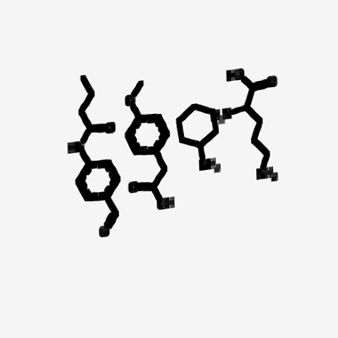 CCCC(=O)Nc1ccc(C=O)cc1.COc1ccc(CC(=O)O)cc1.NC1CCCCC1.NCCCC(N)C(=O)O